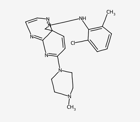 Cc1cccc(Cl)c1NN1CN2C=CN=C3N=C(N4CCN(C)CC4)C=CC32C1